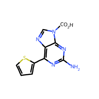 Nc1nc(-c2cccs2)c2ncn(C(=O)O)c2n1